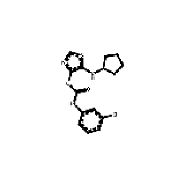 O=C(Nc1cccc(Cl)c1)Oc1ncsc1NC1CCCC1